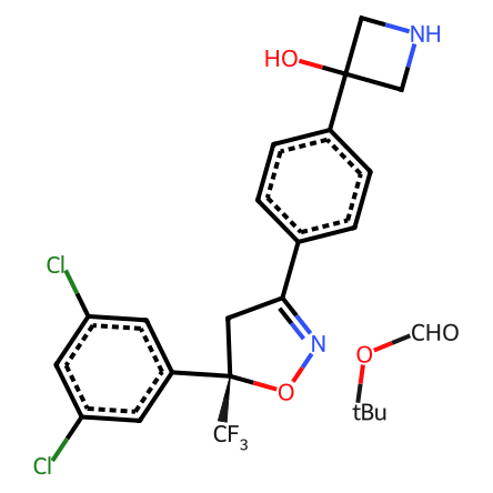 CC(C)(C)OC=O.OC1(c2ccc(C3=NO[C@@](c4cc(Cl)cc(Cl)c4)(C(F)(F)F)C3)cc2)CNC1